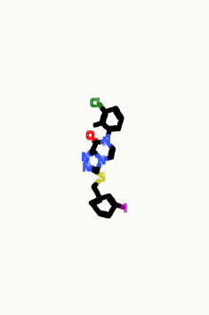 Cc1c(Cl)cccc1-n1ccn2c(SCc3cccc(I)c3)nnc2c1=O